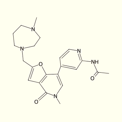 CC(=O)Nc1cc(-c2cn(C)c(=O)c3cc(CN4CCCN(C)CC4)oc23)ccn1